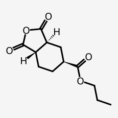 CCCOC(=O)[C@H]1CC[C@@H]2C(=O)OC(=O)[C@H]2C1